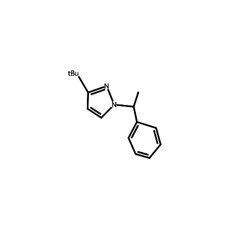 CC(c1ccccc1)n1ccc(C(C)(C)C)n1